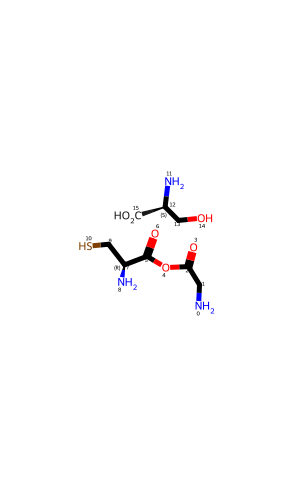 NCC(=O)OC(=O)[C@@H](N)CS.N[C@@H](CO)C(=O)O